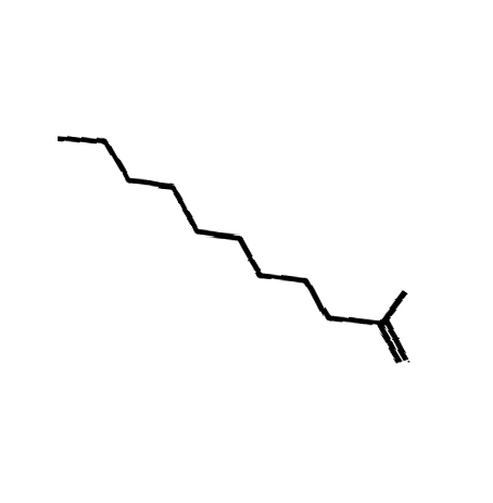 [CH]=C(C)CCCCCCCCC